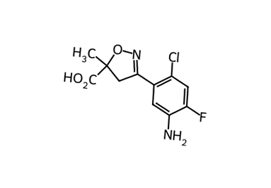 CC1(C(=O)O)CC(c2cc(N)c(F)cc2Cl)=NO1